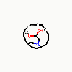 CCOC(O)CN1CC2CCCCCCCCCCCC1CC2